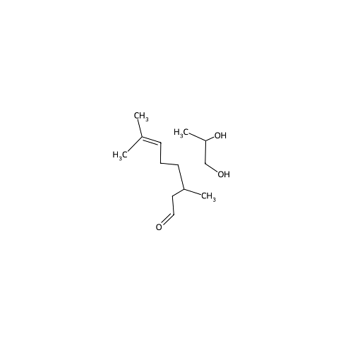 CC(C)=CCCC(C)CC=O.CC(O)CO